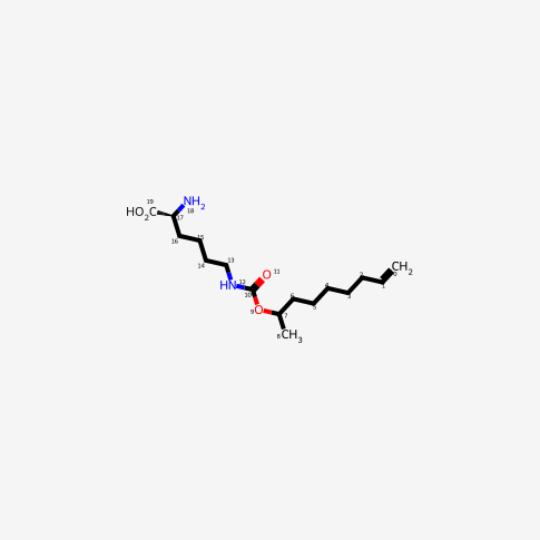 C=CCCCCCC(C)OC(=O)NCCCC[C@H](N)C(=O)O